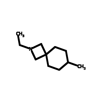 CCN1CC2(CCC(C)CC2)C1